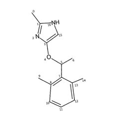 Cc1nc(OC(C)c2c(C)cccc2C)c[nH]1